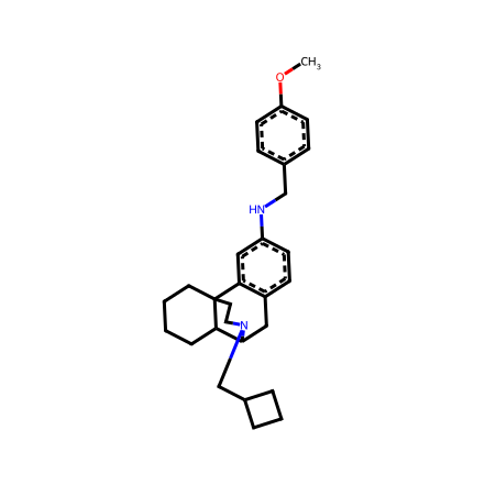 COc1ccc(CNc2ccc3c(c2)C24CCCCC2C(C3)N(CC2CCC2)CC4)cc1